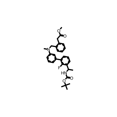 COC(=O)Cc1ccccc1CN(C)c1cccc(-c2cccc(C(C)NC(=O)OC(C)(C)C)c2F)c1